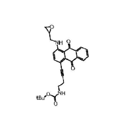 CC(C)(C)OC(=O)NCCC#Cc1ccc(NCC2CO2)c2c1C(=O)c1ccccc1C2=O